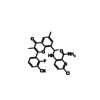 Cc1cc(C(C)Nc2ccc(Cl)nc2C(N)=O)c2oc(-c3cccc(C#N)c3F)c(C)c(=O)c2c1